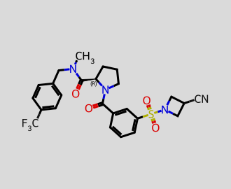 CN(Cc1ccc(C(F)(F)F)cc1)C(=O)[C@H]1CCCN1C(=O)c1cccc(S(=O)(=O)N2CC(C#N)C2)c1